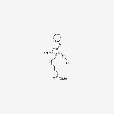 COC(=O)CCC/C=C\C[C@@H]1[C@@H](/C=C/CO)[C@H](OC2CCCCO2)C[C@@H]1OC(C)=O